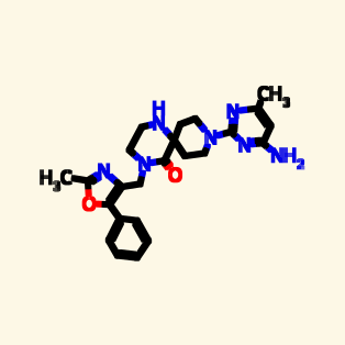 Cc1cc(N)nc(N2CCC3(CC2)NCCN(Cc2nc(C)oc2-c2ccccc2)C3=O)n1